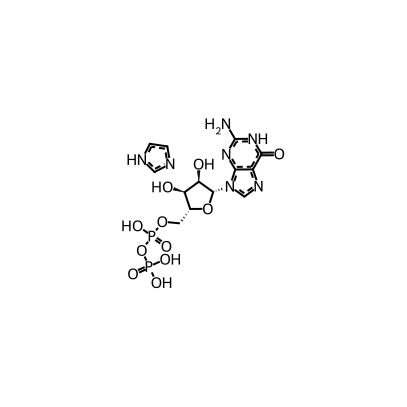 Nc1nc2c(ncn2[C@@H]2O[C@H](COP(=O)(O)OP(=O)(O)O)[C@@H](O)[C@H]2O)c(=O)[nH]1.c1c[nH]cn1